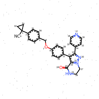 N#CC1(c2ccc(COc3ccc(-c4c(-c5ccncc5)nn5c4C(=O)NCC5)cc3)cc2)CC1